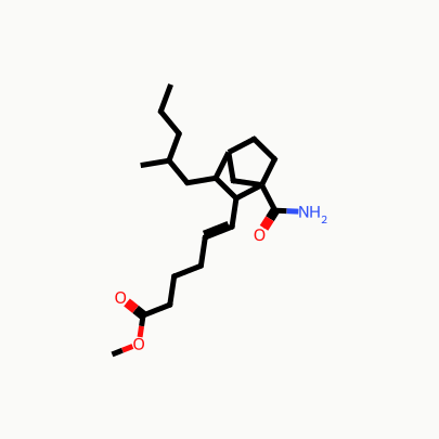 CCCC(C)CC1C2CCC(C(N)=O)(C2)C1C=CCCCC(=O)OC